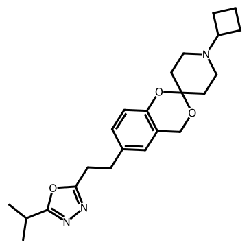 CC(C)c1nnc(CCc2ccc3c(c2)COC2(CCN(C4CCC4)CC2)O3)o1